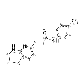 O=C(CCc1ccc2c(n1)NCCC2)Nc1ccc(C(F)(F)F)cc1